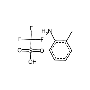 Cc1ccccc1N.O=S(=O)(O)C(F)(F)F